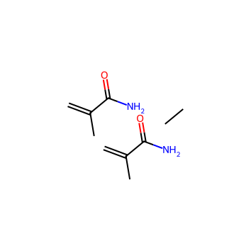 C=C(C)C(N)=O.C=C(C)C(N)=O.CC